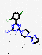 Nc1nc(-c2cc(Cl)ccc2Cl)nc(N2CCN(c3ncccn3)CC2)n1